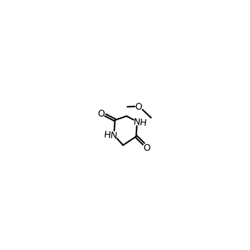 COC.O=C1CNC(=O)CN1